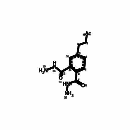 CC(=O)CCc1ccc(C(=O)NN)c(C(=O)NN)c1